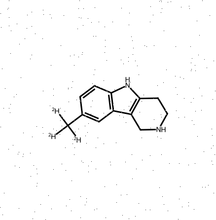 [2H]C([2H])([2H])c1ccc2[nH]c3c(c2c1)CNCC3